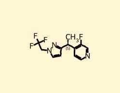 C[C@H](c1ccn(CC(F)(F)F)n1)c1ccncc1F